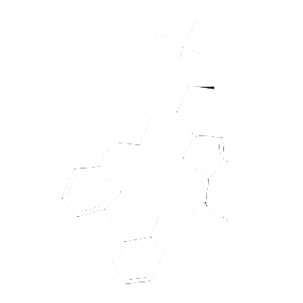 C[C@H](O[Si](C)(C)C(C)(C)C)[C@@H](CCOc1cccc(-c2ccccc2Cl)c1)n1cnc(C(N)=O)c1